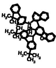 CC(C)(C)c1ccc2c(c1)-c1cc(C(C)(C)C)cc3c1C2c1c(c(-c2c(Nc4ccc5c(c4)-c4ccccc4C5(C)C)ccc4ccccc24)cc2c1oc1ccccc12)B3